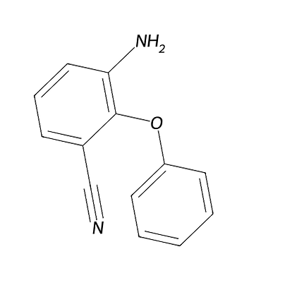 N#Cc1cccc(N)c1Oc1ccccc1